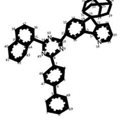 c1ccc(-c2ccc(-c3nc(-c4ccc5c(c4)-c4ncccc4C54C5CC6CC(C5)CC4C6)nc(-c4cccc5ccccc45)n3)cc2)cc1